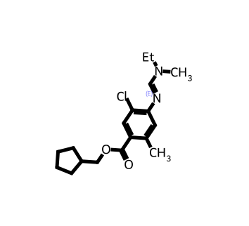 CCN(C)/C=N/c1cc(C)c(C(=O)OCC2CCCC2)cc1Cl